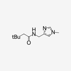 Cn1cnc(CNC(=O)CC(C)(C)C)c1